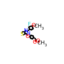 COC(=O)Cc1ccc(Oc2nc(-c3ccc(OC)c(F)c3)nc3c2CSC3)cc1